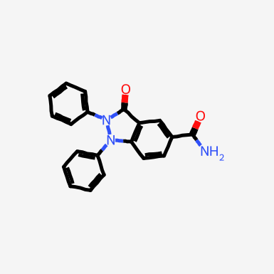 NC(=O)c1ccc2c(c1)c(=O)n(-c1ccccc1)n2-c1ccccc1